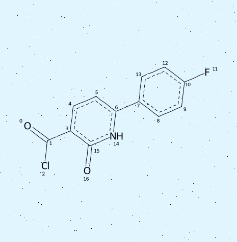 O=C(Cl)c1ccc(-c2ccc(F)cc2)[nH]c1=O